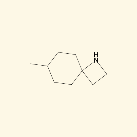 CC1CCC2(CCN2)CC1